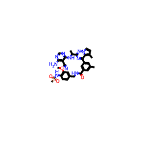 COc1cc(CNC(=O)c2cc(C)cc(-c3nc(C(C)Nc4ncnc(N)c4C#N)nn4ccc(C)c34)c2)ccc1NS(C)(=O)=O